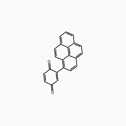 O=C1C=CC(=O)C(c2ccc3ccc4cccc5ccc2c3c45)=C1